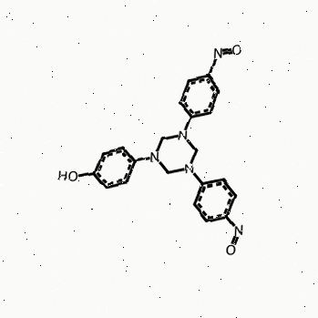 O=Nc1ccc(N2CN(c3ccc(O)cc3)CN(c3ccc(N=O)cc3)C2)cc1